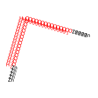 O.O.O.O.O.O.O.O.O.O.O.O.O.O.O.O.O.O.O.O.O.O.O.O.O.O.O.O.O.O.[Zn].[Zn].[Zn].[Zn].[Zn].[Zn].[Zn].[Zn].[Zn].[Zn]